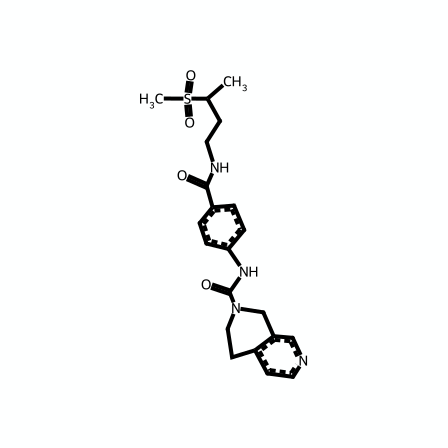 CC(CCNC(=O)c1ccc(NC(=O)N2CCc3ccncc3C2)cc1)S(C)(=O)=O